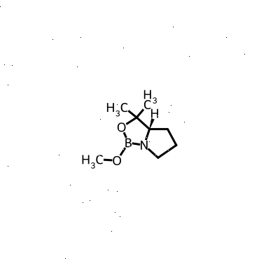 COB1OC(C)(C)[C@@H]2CCCN12